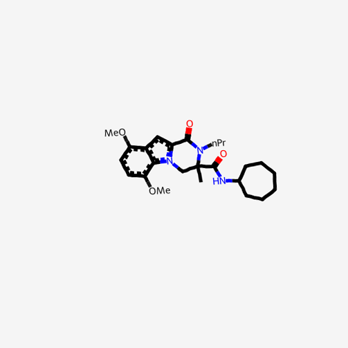 CCCN1C(=O)c2cc3c(OC)ccc(OC)c3n2CC1(C)C(=O)NC1CCCCCC1